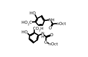 CCCCCCCCC(=O)Nc1ccc(C(=O)O)c(O)c1.CCCCCCCCOC(=O)Nc1cccc(O)c1C(=O)O